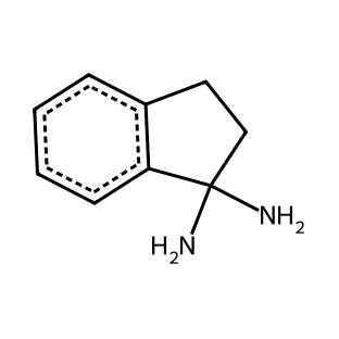 NC1(N)CCc2ccccc21